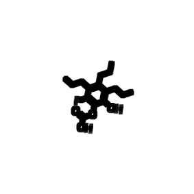 CCCc1c(O)c(OC(=O)O)c(F)c(CCC)c1CCC